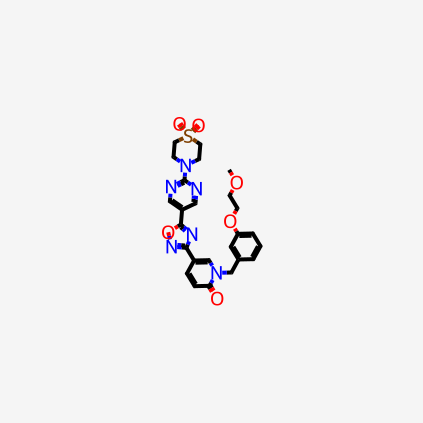 COCCOc1cccc(Cn2cc(-c3noc(-c4cnc(N5CCS(=O)(=O)CC5)nc4)n3)ccc2=O)c1